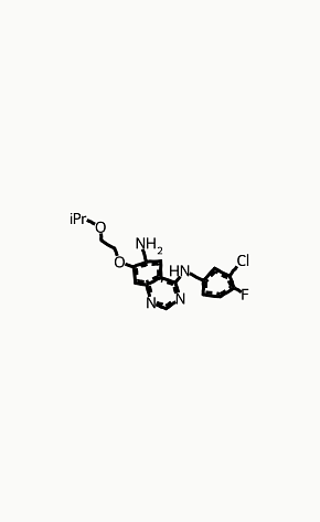 CC(C)OCCOc1cc2ncnc(Nc3ccc(F)c(Cl)c3)c2cc1N